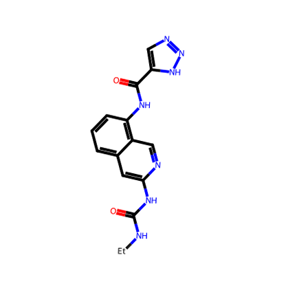 CCNC(=O)Nc1cc2cccc(NC(=O)c3cnn[nH]3)c2cn1